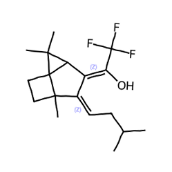 CC(C)C/C=C1\C(=C(/O)C(F)(F)F)C2C(C)(C)C23CCC13C